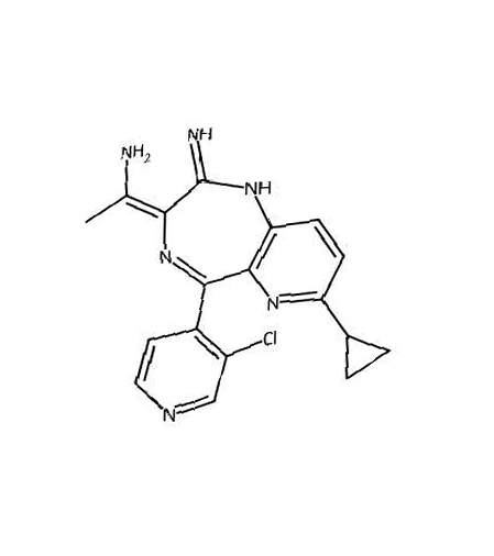 C/C(N)=C1\N=C(c2ccncc2Cl)c2nc(C3CC3)ccc2NC1=N